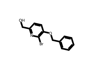 OCc1ccc(OCc2ccccc2)c(Br)n1